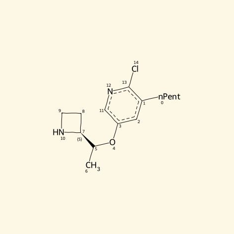 CCCCCc1cc(OC(C)[C@@H]2CCN2)cnc1Cl